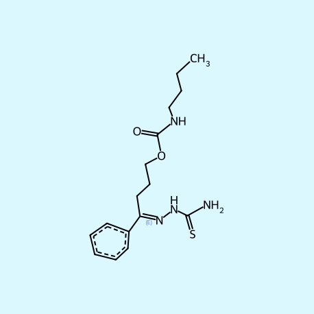 CCCCNC(=O)OCCC/C(=N\NC(N)=S)c1ccccc1